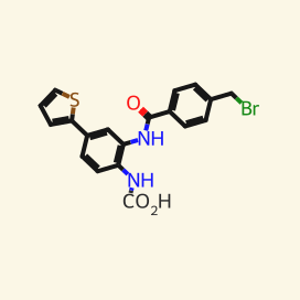 O=C(O)Nc1ccc(-c2cccs2)cc1NC(=O)c1ccc(CBr)cc1